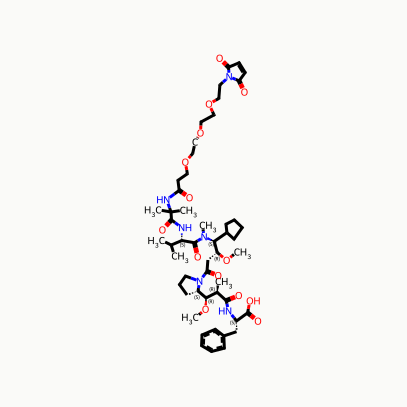 CO[C@H]([C@@H](C)C(=O)N[C@@H](Cc1ccccc1)C(=O)O)[C@@H]1CCCN1C(=O)C[C@@H](OC)[C@H](C1CCCC1)N(C)C(=O)[C@@H](NC(=O)C(C)(C)NC(=O)CCOCCOCCOCCN1C(=O)C=CC1=O)C(C)C